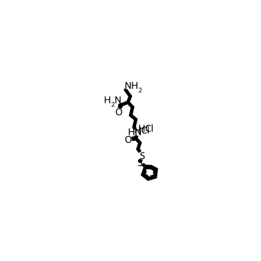 Cl.Cl.NCCC(CCCCNC(=O)CCSSc1ccccc1)C(N)=O